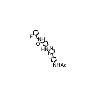 CC(=O)Nc1ccc(-c2ccnc(Nc3cccc(C(=O)NCc4ccccc4F)c3)n2)cc1